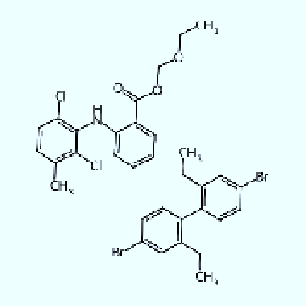 CCOCOC(=O)c1ccccc1Nc1c(Cl)ccc(C)c1Cl.CCc1cc(Br)ccc1-c1ccc(Br)cc1CC